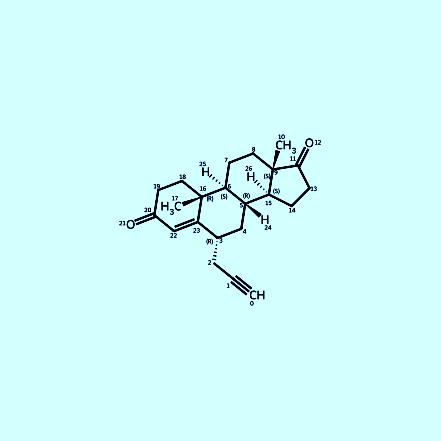 C#CC[C@H]1C[C@@H]2[C@H](CC[C@]3(C)C(=O)CC[C@@H]23)[C@@]2(C)CCC(=O)C=C12